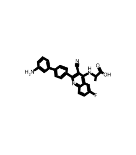 CC(Nc1c(C#N)c(-c2ccc(-c3cccc(N)c3)cc2)nc2ccc(F)cc12)C(=O)O